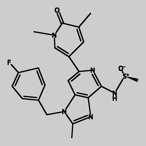 Cc1cc(-c2cc3c(nc(C)n3Cc3ccc(F)cc3)c(N[S@+](C)[O-])n2)cn(C)c1=O